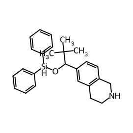 CC(C)(C)C(O[SiH](c1ccccc1)c1ccccc1)c1ccc2c(c1)CCNC2